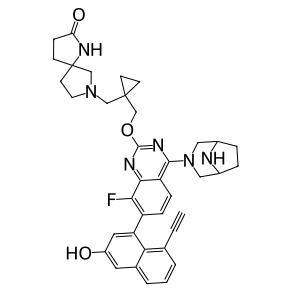 C#Cc1cccc2cc(O)cc(-c3ccc4c(N5CC6CCC(C5)N6)nc(OCC5(CN6CCC7(CCC(=O)N7)C6)CC5)nc4c3F)c12